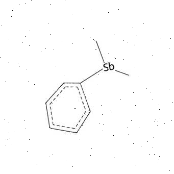 [CH3][Sb]([CH3])[c]1ccccc1